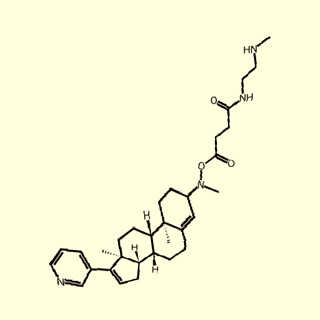 CNCCNC(=O)CCC(=O)ON(C)C1C=C2CC[C@H]3[C@H](CC[C@]4(C)C(c5cccnc5)=CC[C@@H]34)[C@@]2(C)CC1